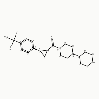 O=C(C1C[C@H]1c1ccc(C(F)(F)F)cc1)N1CCN(C2CCCCC2)CC1